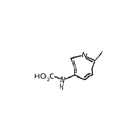 Cc1ccc(NC(=O)O)cn1